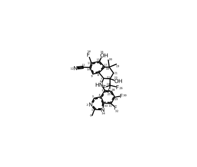 Cc1ncc2c(NC3c4cc(C#N)c(F)c(O)c4C(C)(C)CC3(O)C(F)(F)F)cc(F)c(F)c2n1